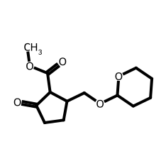 COC(=O)C1C(=O)CCC1COC1CCCCO1